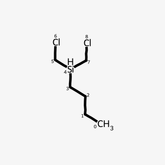 CCCC[SiH](CCl)CCl